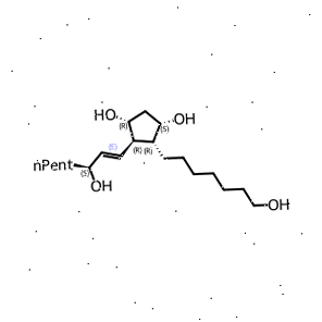 CCCCC[C@H](O)/C=C/[C@@H]1[C@@H](CCCCCCCO)[C@@H](O)C[C@H]1O